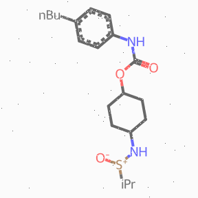 CCCCc1ccc(NC(=O)OC2CCC(N[S+]([O-])C(C)C)CC2)cc1